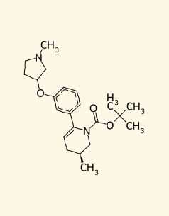 C[C@H]1CC=C(c2cccc(OC3CCN(C)C3)c2)N(C(=O)OC(C)(C)C)C1